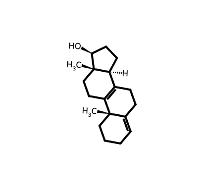 C[C@]12CCCC=C1CCC1=C2CC[C@]2(C)[C@@H](O)CC[C@@H]12